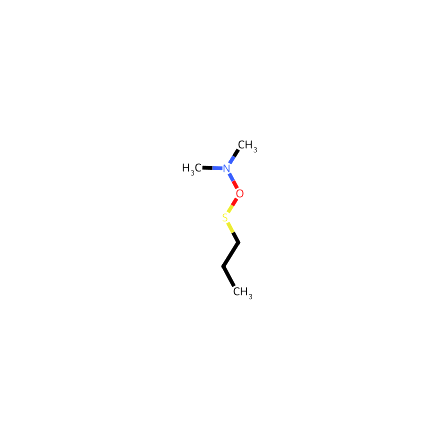 CCCSON(C)C